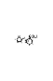 O=C(O)[C@H]1CCCC[C@H]1CN1CCCC1